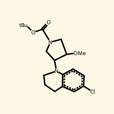 COC1CN(C(=O)OC(C)(C)C)CC1N1CCCc2cc(Cl)ccc21